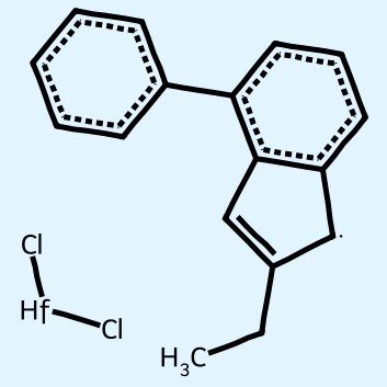 CCC1=Cc2c(cccc2-c2ccccc2)[CH]1.[Cl][Hf][Cl]